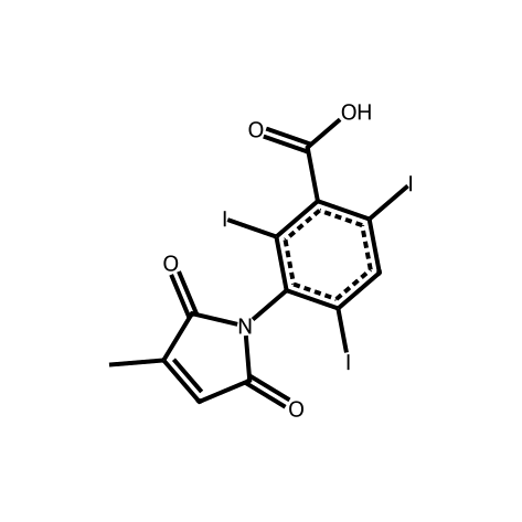 CC1=CC(=O)N(c2c(I)cc(I)c(C(=O)O)c2I)C1=O